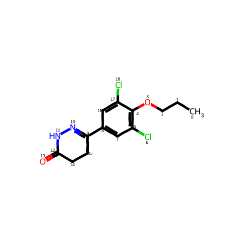 CCCOc1c(Cl)cc(C2=NNC(=O)CC2)cc1Cl